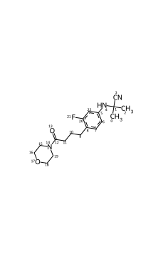 CC(C)(C#N)Nc1ccc(CCCC(=O)N2CCOCC2)c(F)c1